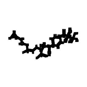 C=C(C)C(C/C=C(/C)COCC1CC1)NC(=O)c1ccc(NS(=O)(=O)C(C)(C)C)cc1